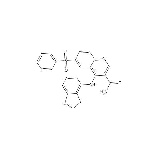 NC(=O)c1cnc2ccc(S(=O)(=O)c3ccccc3)cc2c1Nc1cccc2c1CCO2